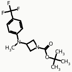 CN(c1ccc(C(F)(F)F)cc1)C1CN(C(=O)OC(C)(C)C)C1